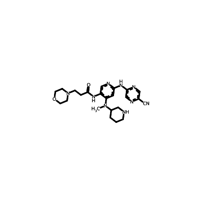 CN(c1cc(Nc2cnc(C#N)cn2)ncc1NC(=O)CCN1CCOCC1)C1CCCNC1